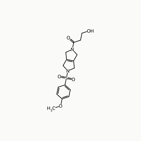 COc1ccc(S(=O)(=O)N2CC3=C(CN(C(=O)CCO)C3)C2)cc1